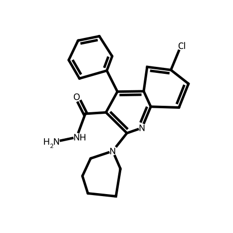 NNC(=O)c1c(N2CCCCC2)nc2ccc(Cl)cc2c1-c1ccccc1